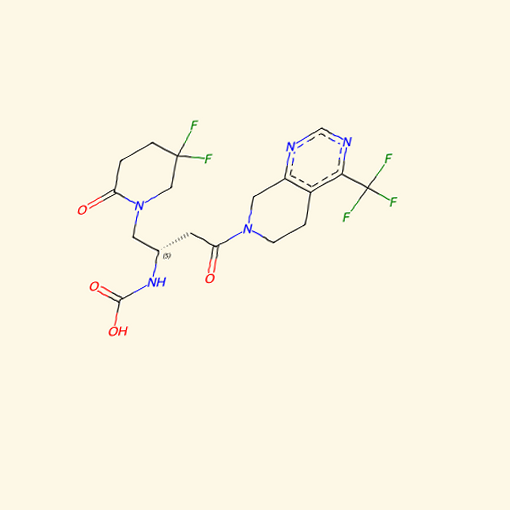 O=C(O)N[C@@H](CC(=O)N1CCc2c(ncnc2C(F)(F)F)C1)CN1CC(F)(F)CCC1=O